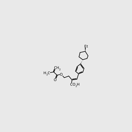 C=C(C)C(=O)OCCC(=Cc1ccc([C@H]2CC[C@H](CC)CC2)cc1)C(=O)O